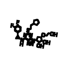 OCCO[C@H]1C[C@@H](n2nnc3c(N[C@@H]4C[C@H]4c4ccc(F)c(F)c4)nc(SCCC4CCCC4)nc32)[C@H](O)[C@@H]1O